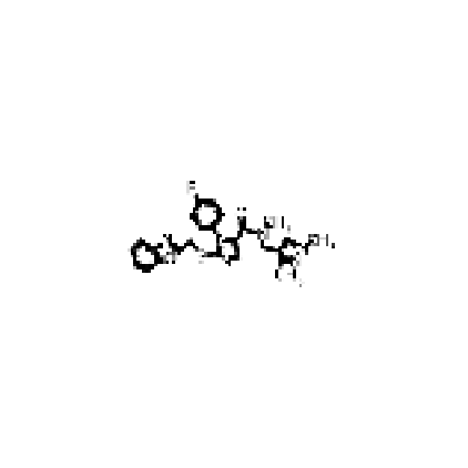 Cc1nn(C)cc1CN(C)C(=O)c1cnc(SCc2nc3ccccc3o2)n1-c1ccc(F)cc1